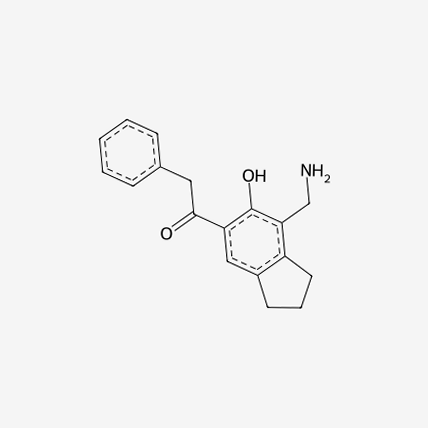 NCc1c(O)c(C(=O)Cc2ccccc2)cc2c1CCC2